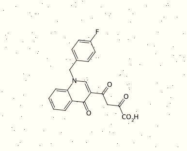 O=C(O)C(=O)CC(=O)c1cn(Cc2ccc(F)cc2)c2ccccc2c1=O